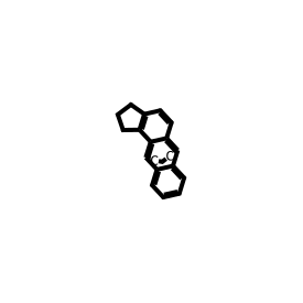 c1ccc2c3c4c5c(ccc4c(c2c1)CCC3)CCC5